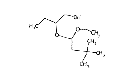 CCC(CO)OC(CC(C)(C)C)OC